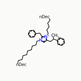 CCCCCCCCCCCCCCCCCCCn1cc(CC(C)c2ccccc2)[n+](CCCCCCCCCCCCCCC)c1Cc1ccccc1